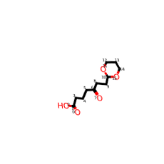 O=C(O)CCCC(=O)CCC1OCCCO1